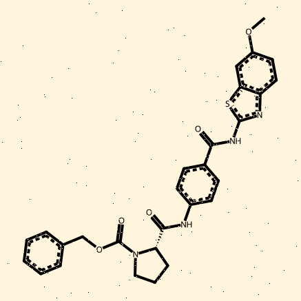 COc1ccc2nc(NC(=O)c3ccc(NC(=O)[C@@H]4CCCN4C(=O)OCc4ccccc4)cc3)sc2c1